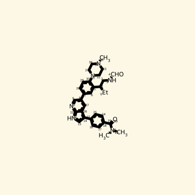 CCC(CNC=O)c1cc(-c2cnc3[nH]cc(-c4ccc(C(=O)N(C)C)cc4)c3c2)ccc1N1CCN(C)CC1